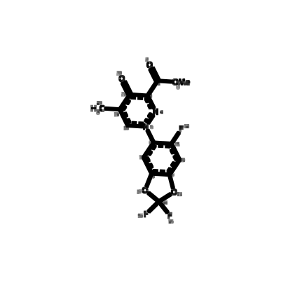 COC(=O)c1nn(-c2cc3c(cc2F)OC(F)(F)O3)cc(C)c1=O